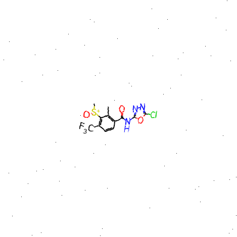 Cc1c(C(=O)Nc2nnc(Cl)o2)ccc(C(F)(F)F)c1[S+](C)[O-]